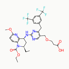 CCOC(=O)N1c2ccc(OC)nc2[C@@H](Nc2ncc(COCCC(=O)O)c(Cc3cc(C(F)(F)F)cc(C(F)(F)F)c3)n2)C[C@H]1CC